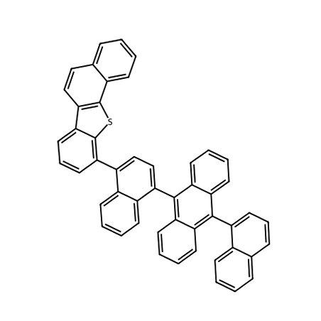 c1ccc2c(-c3c4ccccc4c(-c4ccc(-c5cccc6c5sc5c7ccccc7ccc65)c5ccccc45)c4ccccc34)cccc2c1